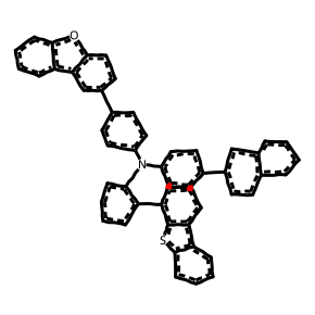 c1ccc(N(c2ccc(-c3ccc4ccccc4c3)cc2)c2ccc(-c3ccc4oc5ccccc5c4c3)cc2)c(-c2cccc3c2sc2ccccc23)c1